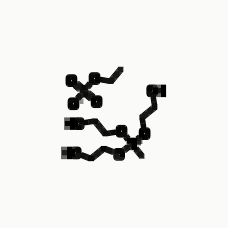 CCOS(=O)(=O)[O-].C[N+](OCCO)(OCCO)OCCO